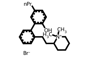 CCCc1ccc(O)c(-c2ccccc2CCC2CCCC[N+]2(C)C)c1.[Br-]